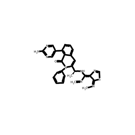 C=N/C(N[C@@H](C)c1cc2cccc(-c3cnc(N)nc3)c2c(=O)n1-c1ccccc1)=C1/N=CS/C1=N/C